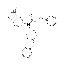 CN1CCc2ccc(N(C(=O)C=Cc3ccccc3)C3CCN(Cc4ccccc4)CC3)cc21